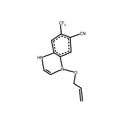 C=CCON1C=CNc2cc(C(F)(F)F)c(C#N)cc21